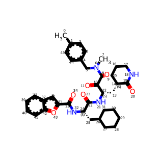 Cc1ccc(CN(C)C(=O)C(=O)[C@H](C[C@@H]2CCCNC2=O)NC(=O)[C@H](CC2CCCCC2)NC(=O)c2cc3ccccc3o2)cc1